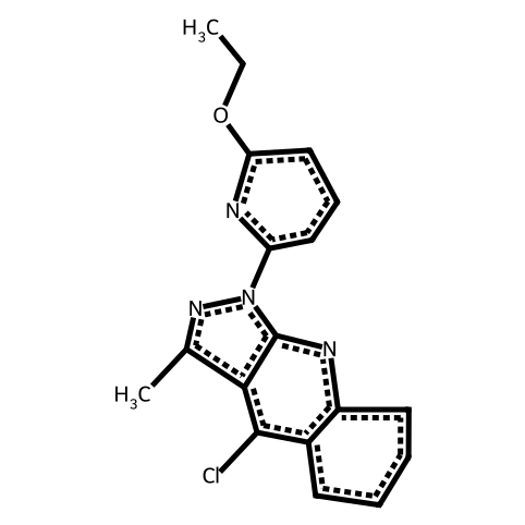 CCOc1cccc(-n2nc(C)c3c(Cl)c4ccccc4nc32)n1